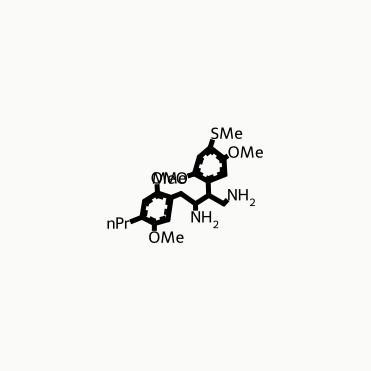 CCCc1cc(OC)c(CC(N)C(CN)c2cc(OC)c(SC)cc2OC)cc1OC